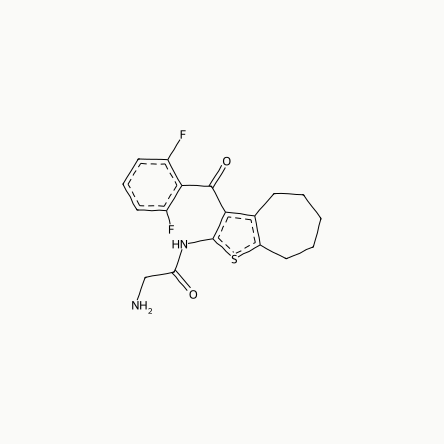 NCC(=O)Nc1sc2c(c1C(=O)c1c(F)cccc1F)CCCCC2